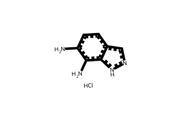 Cl.Nc1ccc2cn[nH]c2c1N